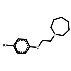 Oc1ccc(OCCN2CCCCCC2)cc1